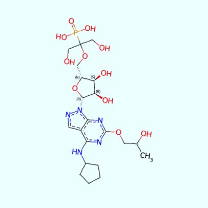 CC(O)COc1nc(NC2CCCC2)c2cnn([C@@H]3O[C@H](COC(CO)(CO)P(=O)(O)O)[C@@H](O)[C@H]3O)c2n1